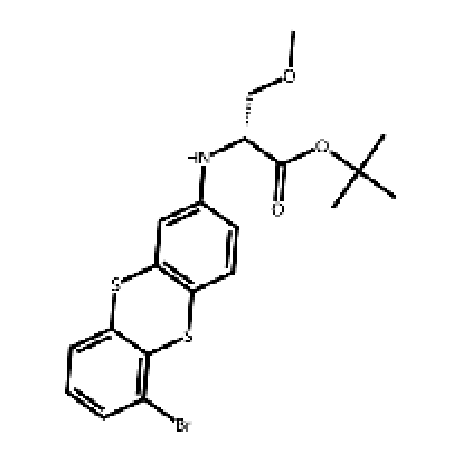 COC[C@@H](Nc1ccc2c(c1)Sc1cccc(Br)c1S2)C(=O)OC(C)(C)C